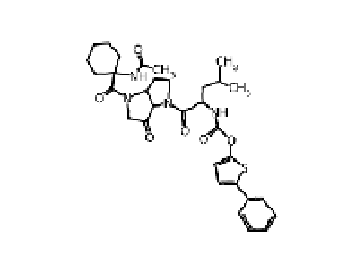 CC(=O)NC1(C(=O)N2CC(=O)C3C2CCN3C(=O)C(CC(C)C)NC(=O)Oc2ccc(-c3ccccc3)s2)CCCCC1